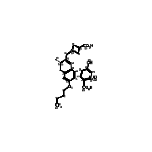 C[C@H]1Cc2cc(OCCCC(F)(F)F)ccc2C=C1CN1CC(C(=O)O)C1.O.O=C(O)c1ccc(O)cc1